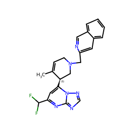 CC1=CCN(Cc2cc3ccccc3cn2)C[C@H]1c1cc(C(F)F)nc2ncnn12